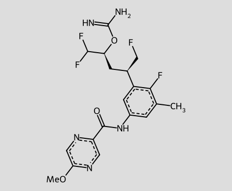 COc1cnc(C(=O)Nc2cc(C)c(F)c([C@H](CF)C[C@H](OC(=N)N)C(F)F)c2)cn1